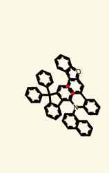 c1ccc(C2(c3ccccc3)c3ccccc3-c3c(N(c4ccccc4-c4ccc5c(c4)oc4ccccc45)c4cccc5ccccc45)cccc32)cc1